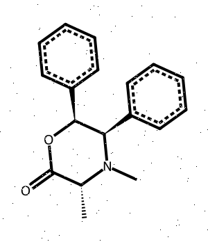 C[C@@H]1C(=O)O[C@@H](c2ccccc2)[C@@H](c2ccccc2)N1C